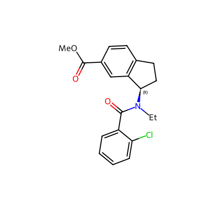 CCN(C(=O)c1ccccc1Cl)[C@@H]1CCc2ccc(C(=O)OC)cc21